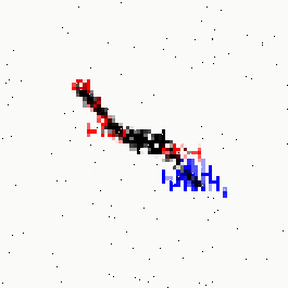 CC(C)(c1ccc(OCC(O)CNC(=N)NC(=N)N)cc1)c1ccc(OCC(O)COCCOCCCO)cc1